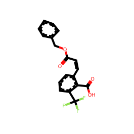 O=C(/C=C\c1cccc(C(F)(F)F)c1C(=O)O)OCc1ccccc1